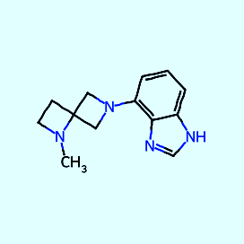 CN1CCC12CN(c1cccc3[nH]cnc13)C2